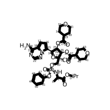 CC(C)OC(=O)C(C)N[P@](=O)(OC[C@@]1(C#N)O[C@@H](c2ccc3c(N)ncnn23)[C@H](OC(=O)C2CCOCC2)[C@@H]1OC(=O)C1CCOCC1)Oc1ccccc1